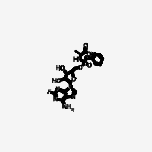 COC(=O)[C@H](C)NP(=O)(OCC1OC(n2cnc3c(N)nc(F)nc32)C(O)C1O)Oc1ccccc1